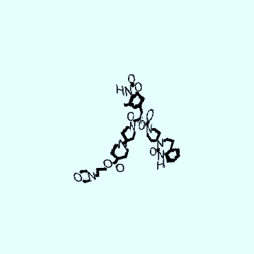 Cc1cc(C[C@@H](OC(=O)N2CCC(N3CCc4ccccc4NC3=O)CC2)C(=O)N2CCC(N3CCC(C(=O)OCCCN4CCOCC4)CC3)CC2)cc2oc(=O)[nH]c12